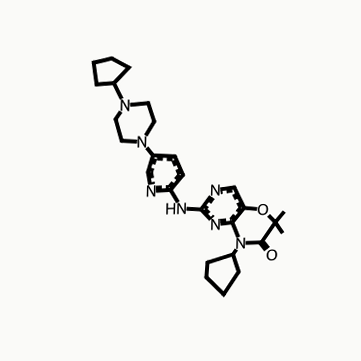 CC1(C)Oc2cnc(Nc3ccc(N4CCN(C5CCCC5)CC4)cn3)nc2N(C2CCCC2)C1=O